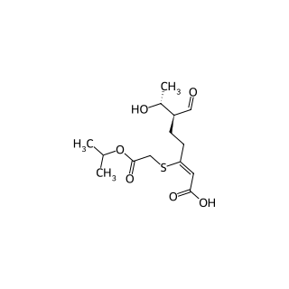 CC(C)OC(=O)CS/C(=C\C(=O)O)CC[C@H](C=O)[C@@H](C)O